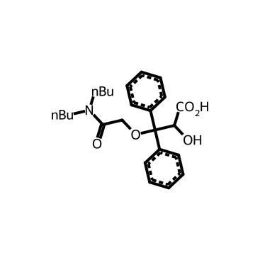 CCCCN(CCCC)C(=O)COC(c1ccccc1)(c1ccccc1)C(O)C(=O)O